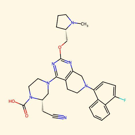 CN1CCC[C@H]1COc1nc2c(c(N3CCN(C(=O)O)[C@@H](CC#N)C3)n1)CCN(c1ccc(F)c3ccccc13)C2